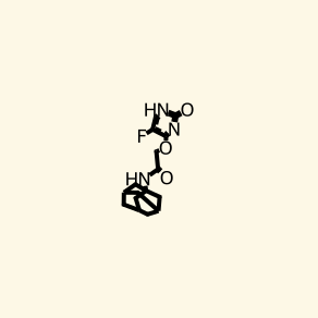 O=C(COc1nc(=O)[nH]cc1F)NC12CC3CC(CC(C3)C1)C2